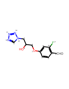 O=Cc1ccc(OCC(O)Cn2cnnn2)cc1F